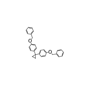 c1ccc(COc2ccc(C3(c4ccc(OCc5ccccc5)cc4)CC3)cc2)cc1